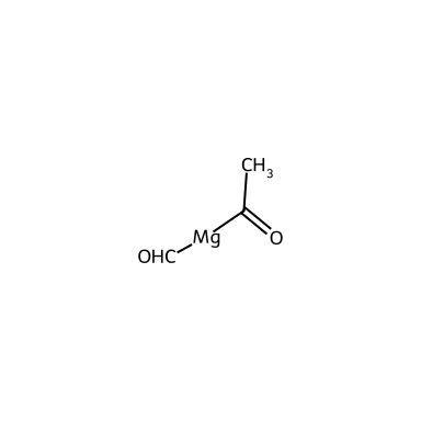 C[C](=O)[Mg][CH]=O